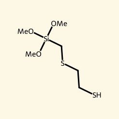 CO[Si](CSCCS)(OC)OC